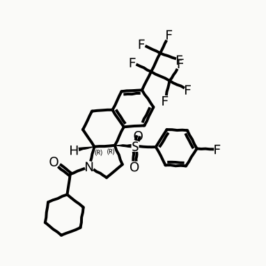 O=C(C1CCCCC1)N1CC[C@@]2(S(=O)(=O)c3ccc(F)cc3)c3ccc(C(F)(C(F)(F)F)C(F)(F)F)cc3CC[C@@H]12